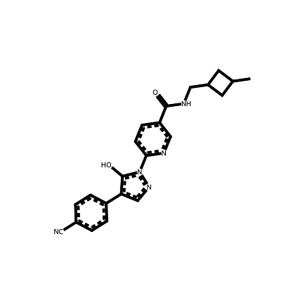 CC1CC(CNC(=O)c2ccc(-n3ncc(-c4ccc(C#N)cc4)c3O)nc2)C1